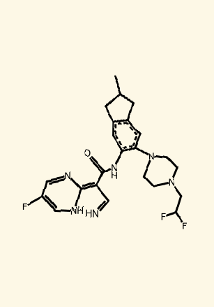 CC1Cc2cc(NC(=O)/C(C=N)=C3\N=CC(F)=CN3)c(N3CCN(CC(F)F)CC3)cc2C1